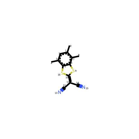 Cc1cc(C)c2c(c1C)SC(=C(C#N)C#N)S2